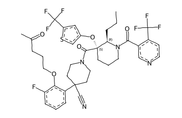 CCC[C@H]1N(C(=O)c2cnccc2C(F)(F)F)CCC[C@@]1(Oc1csc(C(F)(F)F)c1)C(=O)N1CCC(C#N)(c2cccc(F)c2OCCCC(C)=O)CC1